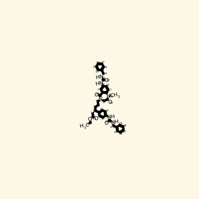 CCOC(=O)C[C@@H](CCCN1CC(=O)N(C)c2ccc(NC(=O)NCc3ccccc3)cc2C1=O)c1ccc(NC(=O)NCc2ccccc2)cc1